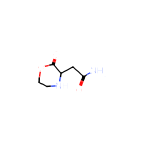 NC(=O)CC1NCCOC1=O